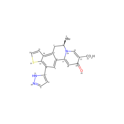 CC(C)(C)[C@@H]1Cc2c(cc(-c3ccn[nH]3)c3sccc23)-c2cc(=O)c(C(=O)O)cn21